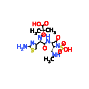 CNC[C@@H]1[C@H](NC(=O)/C(=N\OC(C)(C)C(=O)O)c2csc(N)n2)C(=O)N1S(=O)(=O)O